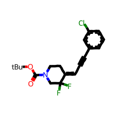 CC(C)(C)OC(=O)N1CC/C(=C\C#Cc2cccc(Cl)c2)C(F)(F)C1